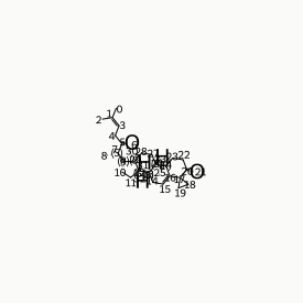 CC(C)=CCC(=O)[C@@H](C)[C@H]1CC[C@H]2[C@@H]3CC=C4C5(CC5)C(=O)CC[C@]4(C)[C@H]3CC[C@]12C